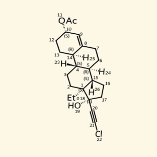 CC[C@]12CC[C@H]3[C@@H](CCC4=C[C@@H](OC(C)=O)CC[C@@H]43)[C@@H]1CC[C@@]2(O)C#CCl